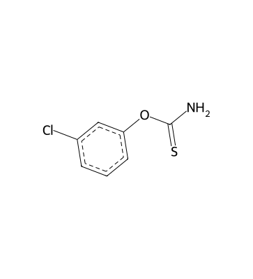 NC(=S)Oc1cccc(Cl)c1